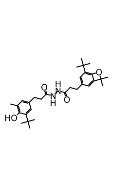 Cc1cc(CCC(=O)NNC(=O)CCc2cc(C(C)(C)C)c3c(c2)C(C)(C)O3)cc(C(C)(C)C)c1O